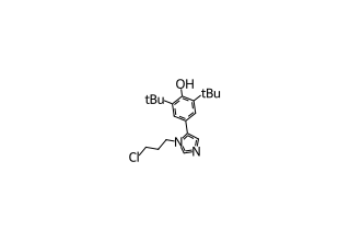 CC(C)(C)c1cc(-c2cncn2CCCCl)cc(C(C)(C)C)c1O